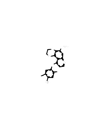 COc1cc2nccc(Oc3cc(Cl)c(N)cc3F)c2c2c1OCCO2